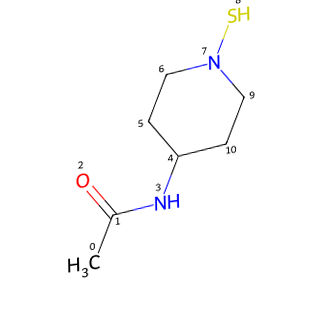 CC(=O)NC1CCN(S)CC1